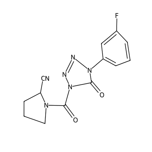 N#CC1CCCN1C(=O)n1nnn(-c2cccc(F)c2)c1=O